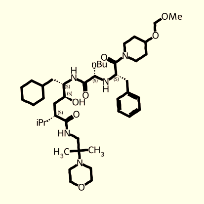 CCCC[C@H](N[C@@H](Cc1ccccc1)C(=O)N1CCC(OCOC)CC1)C(=O)N[C@@H](CC1CCCCC1)[C@@H](O)C[C@H](C(=O)NCC(C)(C)N1CCOCC1)C(C)C